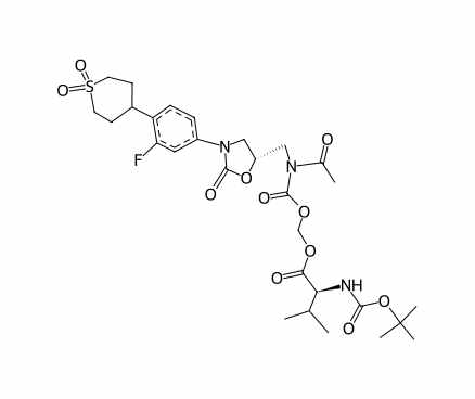 CC(=O)N(C[C@H]1CN(c2ccc(C3CCS(=O)(=O)CC3)c(F)c2)C(=O)O1)C(=O)OCOC(=O)[C@@H](NC(=O)OC(C)(C)C)C(C)C